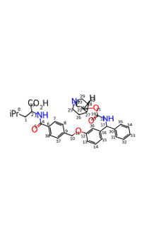 CC(C)CC(NC(=O)c1ccc(COc2cccc(C(NC(=O)O[C@H]3CN4CCC3CC4)c3ccccc3)c2)cc1)C(=O)O